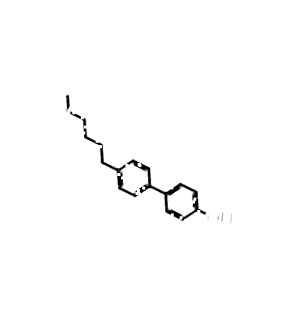 CCCCCCc1ccc(-c2ccc(O)cc2)cc1